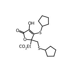 CCOC(=O)C1(CSC2CCCC2)OC(=O)C(O)=C1SC1CCCC1